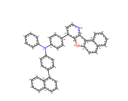 c1ccc(N(c2ccc(-c3cccc4ccccc34)cc2)c2ccc(-c3ccnc4c3oc3ccc5ccccc5c34)cc2)cc1